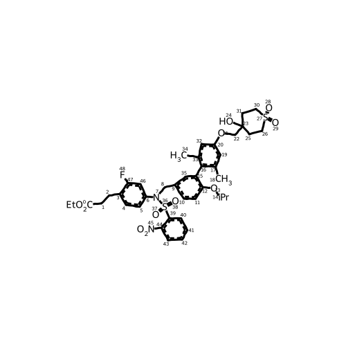 CCOC(=O)CCc1ccc(N(Cc2ccc(OC(C)C)c(-c3c(C)cc(OCC4(O)CCS(=O)(=O)CC4)cc3C)c2)S(=O)(=O)c2ccccc2[N+](=O)[O-])cc1F